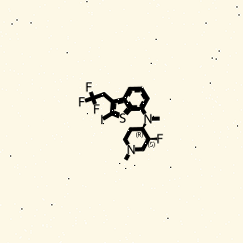 CN1CC[C@@H](N(C)c2cccc3c(CC(F)(F)F)c(I)sc23)[C@@H](F)C1